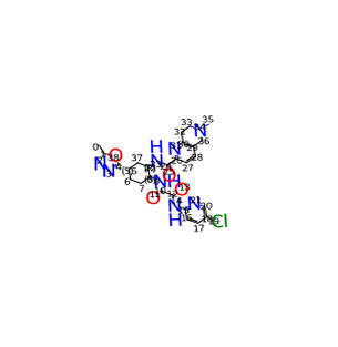 Cc1nnc([C@H]2CC[C@H](NC(=O)C(=O)Nc3ccc(Cl)cn3)[C@H](NC(=O)c3ccc4c(n3)CCN(C)C4)C2)o1